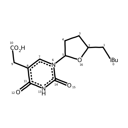 CCC(C)CC1CCC(n2cc(CC(=O)O)c(=O)[nH]c2=O)O1